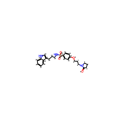 O=C1CCCN1CCCOc1ccc(S(=O)(=O)NCCCc2c[nH]c3ccccc23)cc1